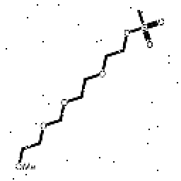 COCCOCOCCOCCOS(C)(=O)=O